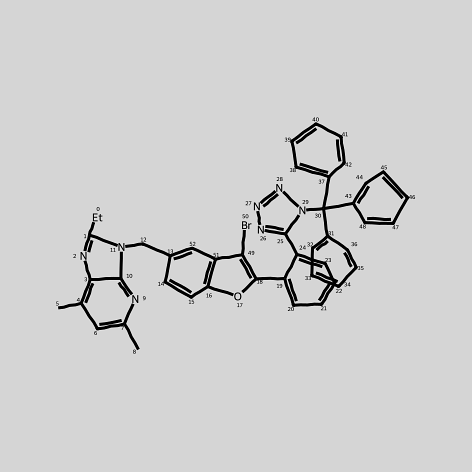 CCc1nc2c(C)cc(C)nc2n1Cc1ccc2oc(-c3ccccc3-c3nnnn3C(c3ccccc3)(c3ccccc3)c3ccccc3)c(Br)c2c1